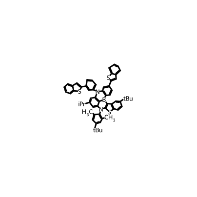 Cc1cc(C(C)(C)C)cc(C)c1N1c2cc(C(C)C)cc3c2B(c2ccc(-c4cc5ccccc5s4)cc2N3c2cccc(-c3cc4ccccc4s3)c2)c2c1sc1ccc(C(C)(C)C)cc21